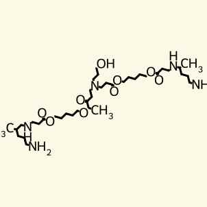 CC(CCCN)CNCCC(=O)OCCCCCOC(C)C(=O)CCN(CCCO)CCC(=O)OCCCCCOC(=O)CCNC(C)CCCN